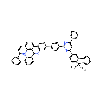 CC1(C)c2ccccc2-c2cc(-c3cc(-c4ccccc4)nc(-c4ccc(-c5ccc6c(c5)nc(-c5ccccc5)c5c6ccc6ccc(-c7ccccc7)nc65)cc4)n3)ccc21